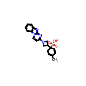 CC1=CCC(C2CN(c3ccn4c(n3)nc3ccccc34)C2)(S(=O)(=O)O)C=C1